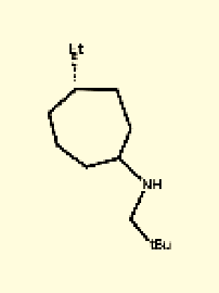 CC[C@H]1CCCC(NCC(C)(C)C)CC1